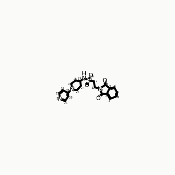 O=C1c2ccccc2C(=O)N1CCS(=O)(=O)NC1CCN(c2ccncc2)CC1